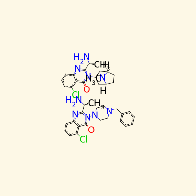 C[C@H](N)c1nc2cccc(Cl)c2c(=O)n1C1C[C@H]2CC[C@@H](C1)N2C.C[C@H](N)c1nc2cccc(Cl)c2c(=O)n1N1CCN(Cc2ccccc2)CC1